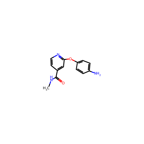 CNC(=O)c1ccnc(Oc2ccc(N)cc2)c1